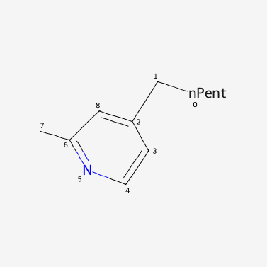 CCCCCCc1ccnc(C)c1